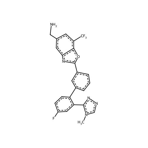 Cn1cnnc1-c1cc(F)ccc1-c1cccc(-c2nc3cc(CN)cc(C(F)(F)F)c3o2)c1